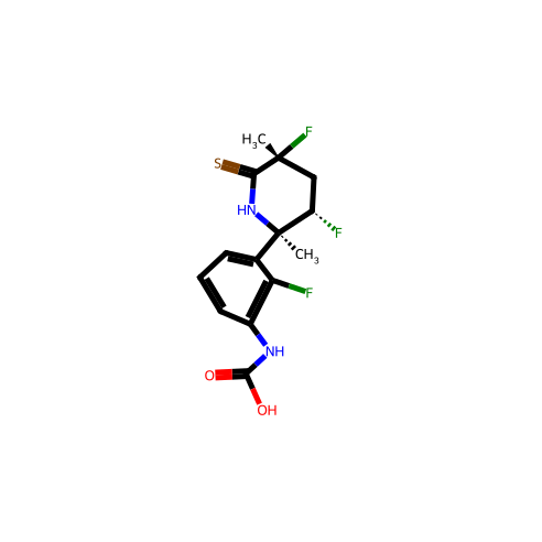 C[C@@]1(F)C[C@H](F)[C@@](C)(c2cccc(NC(=O)O)c2F)NC1=S